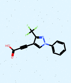 O=C(O)C#Cc1cn(-c2ccccc2)nc1C(F)(F)F